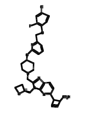 O=C(O)C1C#CC1c1ccc2nc(CN3CCC(Oc4cccc(COc5ccc(Cl)cc5F)n4)CC3)n(C[C@@H]3CCO3)c2n1